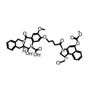 COC(=O)Oc1cc2c(c3ccccc13)[C@H](CCl)CN2C(=O)CCCOc1cc2c(cc1OC)C(=O)N1Cc3ccccc3C[C@H]1C(O)N2C(=O)O